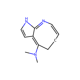 CN(C)/C1=c2\cc[nH]\c2=N\C=CCC1